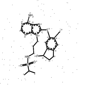 CC(C)S(=O)(=O)NCCCn1c(Sc2cc3c(cc2I)CCC3F)nc2c(N)ncnc21